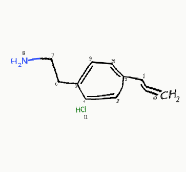 C=Cc1ccc(CCN)cc1.Cl